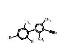 Cc1cn(-c2c(C)cc(Br)cc2Br)c(N)c1C#N